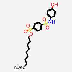 CCCCCCCCCCCCCCCCCCOS(=O)(=O)c1ccc(S(=O)(=O)Nc2ccc(O)cc2)cc1